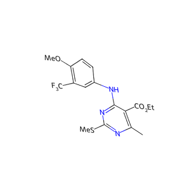 CCOC(=O)c1c(C)nc(SC)nc1Nc1ccc(OC)c(C(F)(F)F)c1